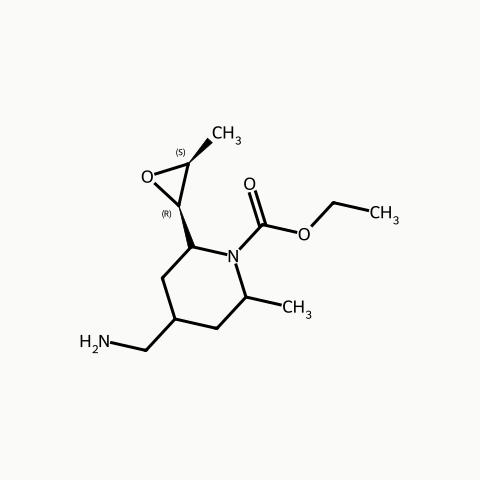 CCOC(=O)N1C(C)CC(CN)CC1[C@H]1O[C@H]1C